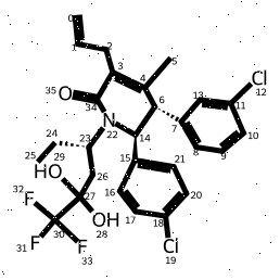 C=CCC1=C(C)[C@H](c2cccc(Cl)c2)[C@@H](c2ccc(Cl)cc2)N([C@@H](CC)CC(O)(O)C(F)(F)F)C1=O